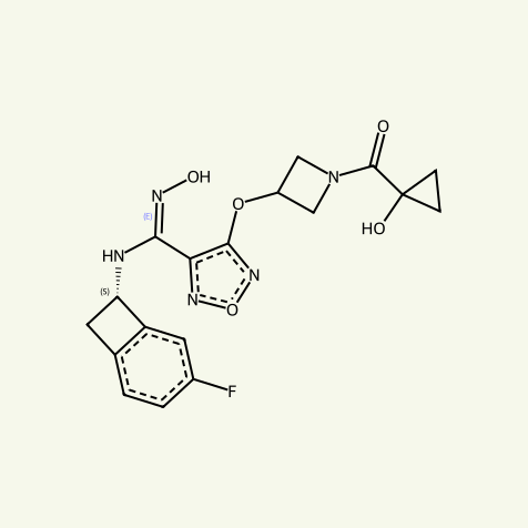 O=C(N1CC(Oc2nonc2/C(=N\O)N[C@H]2Cc3ccc(F)cc32)C1)C1(O)CC1